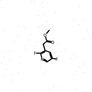 COC(=O)Cc1cc(F)cnc1F